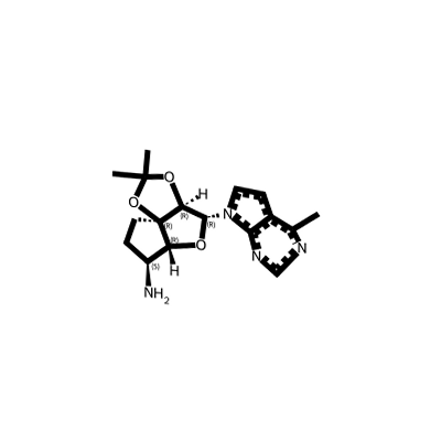 Cc1ncnc2c1ccn2[C@@H]1O[C@@H]2[C@@H](N)CC[C@@]23OC(C)(C)O[C@@H]13